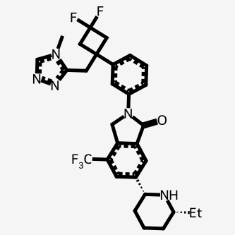 CC[C@@H]1CCC[C@H](c2cc3c(c(C(F)(F)F)c2)CN(c2cccc(C4(Cc5nncn5C)CC(F)(F)C4)c2)C3=O)N1